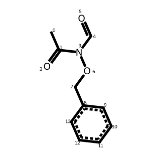 CC(=O)N(C=O)OCc1ccccc1